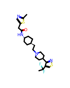 Cc1ncc(CC(=O)N[C@H]2CC[C@H](CCN3CCC(c4nscc4C(C)(F)F)CC3)CC2)s1